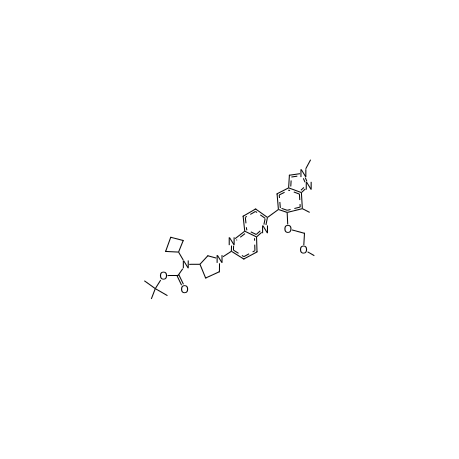 COCOc1c(-c2ccc3nc(N4CCC(N(C(=O)OC(C)(C)C)C5CCC5)C4)ccc3n2)cc2cn(C)nc2c1C